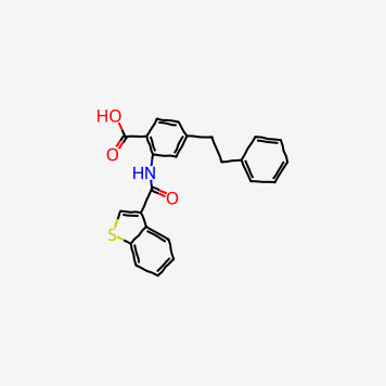 O=C(O)c1ccc(CCc2ccccc2)cc1NC(=O)c1csc2ccccc12